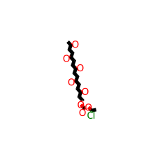 CC(=O)CCC(=O)CCC(=O)CCC(=O)CCC(=O)CCOC(=O)OC(C)Cl